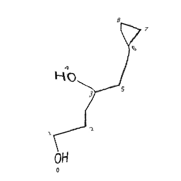 OCCC(O)CC1CC1